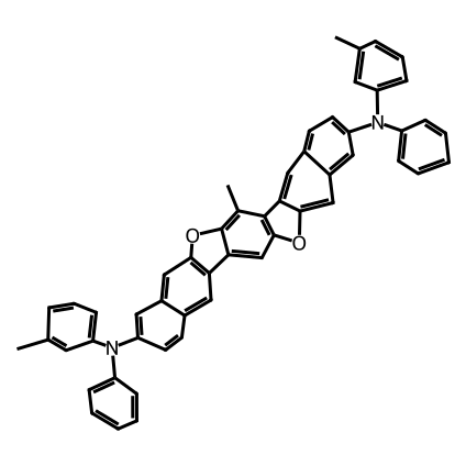 Cc1cccc(N(c2ccccc2)c2ccc3cc4c(cc3c2)oc2c(C)c3c(cc24)oc2cc4cc(N(c5ccccc5)c5cccc(C)c5)ccc4cc23)c1